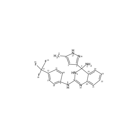 Cc1cc(C2(N)NC(Nc3ccc(C(F)(F)F)cc3)=Nc3ccccc32)n[nH]1